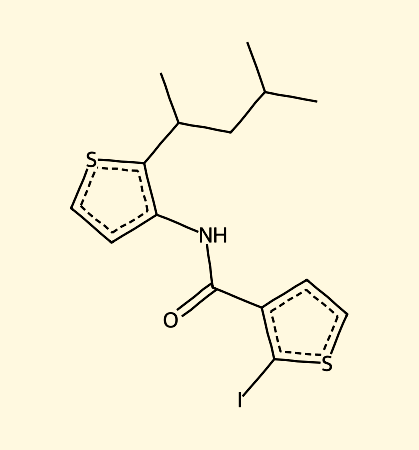 CC(C)CC(C)c1sccc1NC(=O)c1ccsc1I